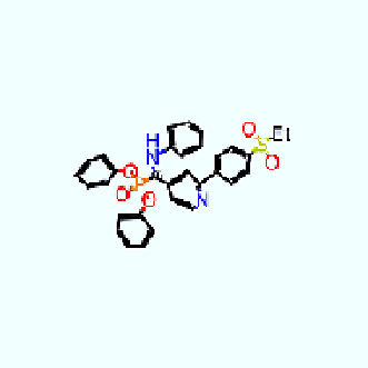 CCS(=O)(=O)c1ccc(-c2cc([C@H](Nc3ccccc3)P(=O)(Oc3ccccc3)Oc3ccccc3)ccn2)cc1